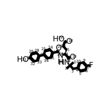 CC(C)(Cc1ccc(F)cc1)NC(=O)[C@H](CCC(=O)O)NC(=O)c1ccc(-c2ccc(O)cc2)cc1